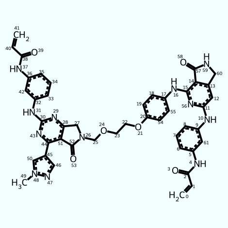 C=CC(=O)Nc1cccc(Nc2cc3c(c(Nc4ccc(OCCOCN5Cc6nc(Nc7cccc(NC(=O)C=C)c7)nc(-c7cnn(C)c7)c6C5=O)cc4)n2)C(=O)NC3)c1